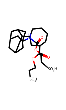 O=C(NC12CC3CC(C1)C(C1CCCCC(C(=O)OCCS(=O)(=O)O)C1)C(C3)C2)OCCS(=O)(=O)O